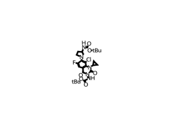 CC(C)(C)OC(=O)NC1CCN(c2c(F)cc3c(=O)n(NC(=O)OC(C)(C)C)c(=O)n(C4CC4)c3c2Cl)C1